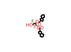 O=C(OC[C@H]1S[C@@H](O)[C@@H](F)[C@@H]1OC(=O)c1ccc2ccccc2c1)c1ccc2ccccc2c1